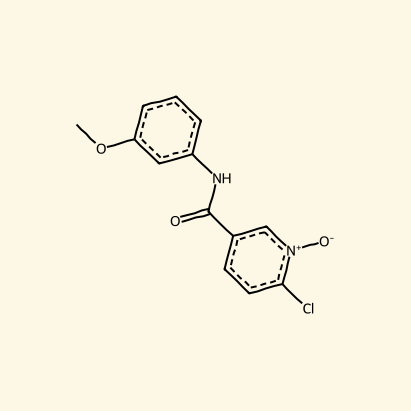 COc1cccc(NC(=O)c2ccc(Cl)[n+]([O-])c2)c1